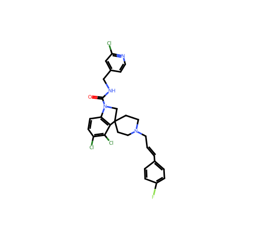 O=C(NCc1ccnc(Cl)c1)N1CC2(CCN(CC=Cc3ccc(F)cc3)CC2)c2c1ccc(Cl)c2Cl